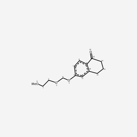 COCCOCOc1ccc2c(c1)CCCC2=O